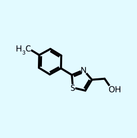 Cc1ccc(-c2nc(CO)cs2)cc1